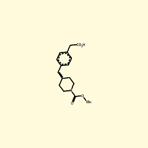 CC(C)(C)OC(=O)N1CCC(=Cc2ccc(CC(=O)O)cc2)CC1